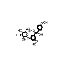 OC[C@H]1O[C@@H](Oc2cc(OO)cc(/C(O)=C(\O)c3ccc(OO)cc3)c2)[C@H](O)[C@@H](O)[C@@H]1O